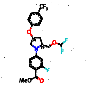 COC(=O)c1ccc(N2C[C@@H](Oc3ccc(C(F)(F)F)cc3)C[C@H]2COC(F)F)cc1F